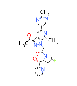 CC(=O)c1nn(CC(=O)N2C[C@H](F)C[C@H]2C(=O)c2ccccn2)c2c(C)nc(-c3cnc(C)nc3)cc12